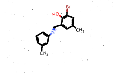 Cc1cccc(/N=C/c2cc(C)cc(Br)c2O)c1